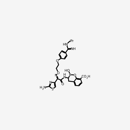 CC(C)NC(=N)c1ccc(OCCON=C(C(=O)NC2Cc3cccc(C(=O)O)c3OB2O)c2csc(N)n2)cc1